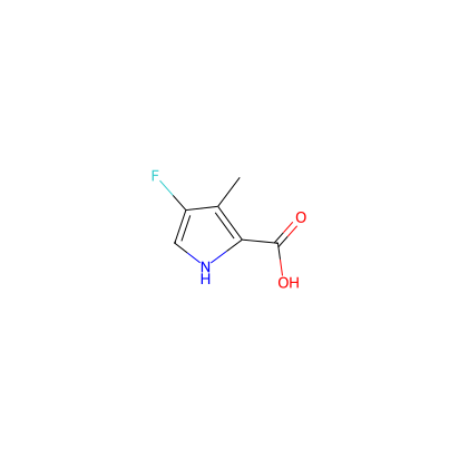 Cc1c(F)c[nH]c1C(=O)O